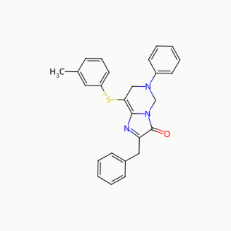 Cc1cccc(SC2=C3N=C(Cc4ccccc4)C(=O)N3CN(c3ccccc3)C2)c1